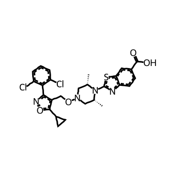 C[C@@H]1CN(OCc2c(-c3c(Cl)cccc3Cl)noc2C2CC2)C[C@H](C)N1c1nc2ccc(C(=O)O)cc2s1